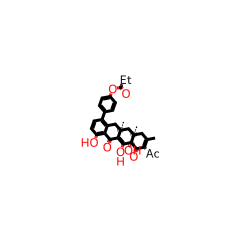 CCC(=O)Oc1ccc(-c2ccc(O)c3c2C[C@@]2(C)C[C@@]4(C)CC(C)=C(C(C)=O)C(=O)[C@@]4(O)C(O)=C2C3=O)cc1